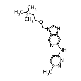 Cc1ccc(Nc2cc3ncn(COCC[Si](C)(C)C)c3cn2)nn1